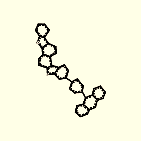 c1ccc2c(-c3ccc(-c4ccc5c(c4)sc4ccc6c(ccc7c8ccccc8oc76)c45)cc3)c3ccccc3cc2c1